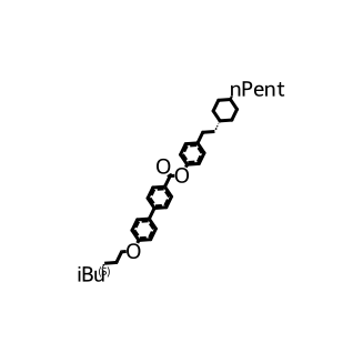 CCCCC[C@H]1CC[C@H](CCc2ccc(OC(=O)c3ccc(-c4ccc(OCCC[C@@H](C)CC)cc4)cc3)cc2)CC1